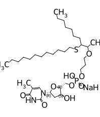 CCCCCCCCCCCCSC(CCCCCCC)C(C)OCCCOP(=O)(O)OC[C@H]1O[C@@H](n2cc(C)c(=O)[nH]c2=O)C[C@@H]1O.[NaH]